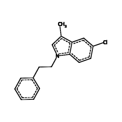 Cc1cn(CCc2ccccc2)c2ccc(Cl)cc12